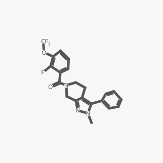 Cn1nc2c(c1-c1ccccc1)CCN(C(=O)c1cccc(OC(F)(F)F)c1F)C2